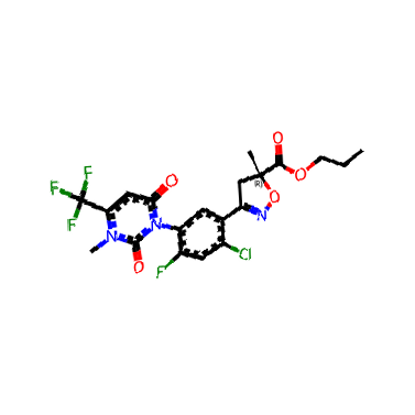 CCCOC(=O)[C@@]1(C)CC(c2cc(-n3c(=O)cc(C(F)(F)F)n(C)c3=O)c(F)cc2Cl)=NO1